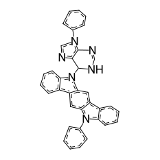 C1=Nc2c(ncn2-c2ccccc2)C(n2c3ccccc3c3cc4c(cc32)c2ccccc2n4-c2ccccc2)N1